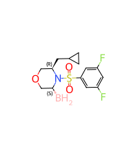 B[C@H]1COC[C@@H](CC2CC2)N1S(=O)(=O)c1cc(F)cc(F)c1